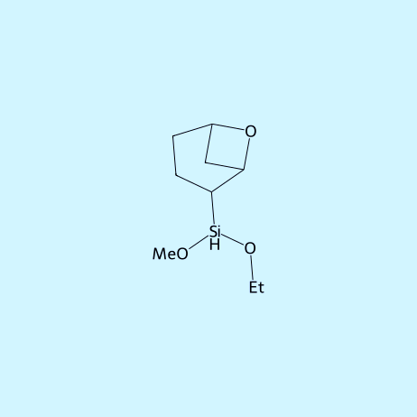 CCO[SiH](OC)C1CCC2CC1O2